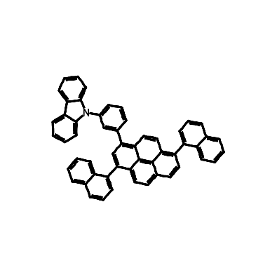 c1cc(-c2cc(-c3cccc4ccccc34)c3ccc4ccc(-c5cccc6ccccc56)c5ccc2c3c45)cc(-n2c3ccccc3c3ccccc32)c1